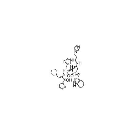 O=C(C[C@@H](Cc1c[nH]c2ccccc12)C(=O)N[C@@H](Cc1c[nH]cn1)C(=O)N[C@H](CC1CCCCC1)[C@H](O)c1cccs1)NCCCn1ccnc1